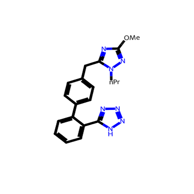 CCCn1nc(OC)nc1Cc1ccc(-c2ccccc2-c2nnn[nH]2)cc1